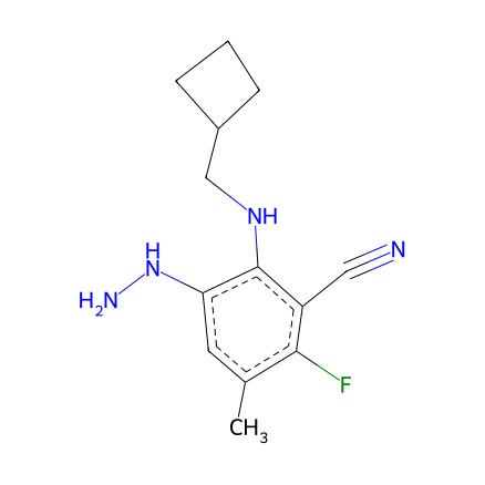 Cc1cc(NN)c(NCC2CCC2)c(C#N)c1F